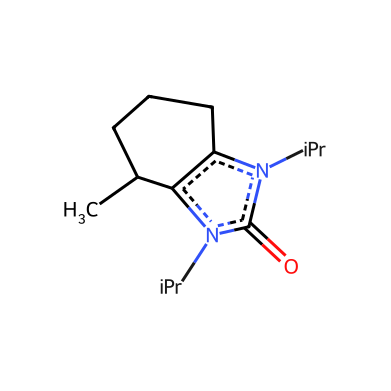 CC1CCCc2c1n(C(C)C)c(=O)n2C(C)C